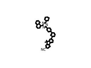 CC1(C)c2cc(C#N)ccc2-c2ccc(-c3cccc(-c4ccc(-c5nc(-c6ccccc6)nc(-c6cccc7ccccc67)n5)cc4)c3)cc21